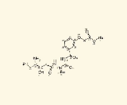 CC[C@H](C)[C@H](NC(=O)C[C@H](O)[C@@H](N)CC(C)C)C(=O)NC(=O)c1cccc(OCC(=O)OC(C)(C)C)c1